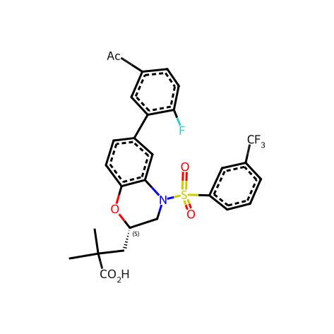 CC(=O)c1ccc(F)c(-c2ccc3c(c2)N(S(=O)(=O)c2cccc(C(F)(F)F)c2)C[C@H](CC(C)(C)C(=O)O)O3)c1